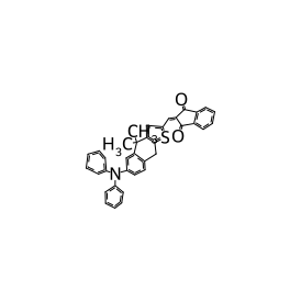 CC1(C)c2cc(N(c3ccccc3)c3ccccc3)ccc2Cc2sc(C=C3C(=O)c4ccccc4C3=O)cc21